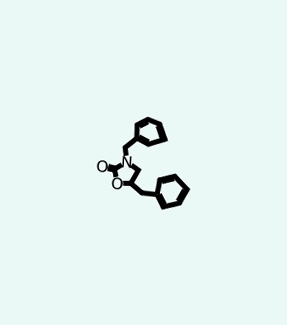 O=C1OC(Cc2ccccc2)CN1Cc1ccccc1